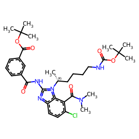 C[C@H](CCCCNC(=O)OC(C)(C)C)n1c(NC(=O)c2cccc(C(=O)OC(C)(C)C)c2)nc2ccc(Cl)c(C(=O)N(C)C)c21